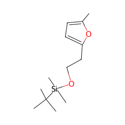 Cc1ccc(CCO[Si](C)(C)C(C)(C)C)o1